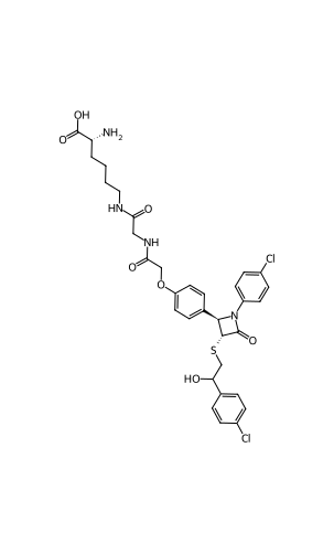 N[C@H](CCCCNC(=O)CNC(=O)COc1ccc([C@@H]2[C@@H](SCC(O)c3ccc(Cl)cc3)C(=O)N2c2ccc(Cl)cc2)cc1)C(=O)O